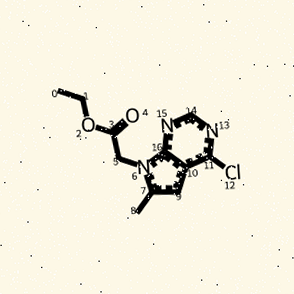 CCOC(=O)Cn1c(C)cc2c(Cl)ncnc21